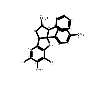 COc1ccc(C23Oc4c(nc(O)c(OC)c4O)C2CC(C(=O)O)C3c2ccccc2)cc1